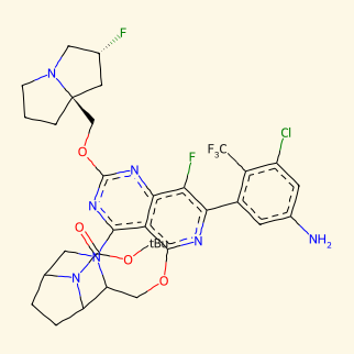 CC(C)(C)OC(=O)N1C2CCC1C1COc3nc(-c4cc(N)cc(Cl)c4C(F)(F)F)c(F)c4nc(OC[C@@]56CCCN5C[C@H](F)C6)nc(c34)N1C2